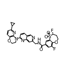 O=C(NCc1cc2nc(N3CCOc4ccc(C5CC5)nc43)ccc2cn1)c1cc(F)c2c(c1)S(=O)(=O)[C@@H](F)CCO2